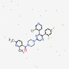 Cc1nc(C(F)(F)F)ccc1C(=O)N1CCN(c2cnc(-c3ccc(F)cc3F)c(-c3ccncc3Cl)n2)CC1